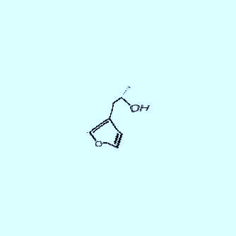 C[C@H](O)Cc1[c]occ1